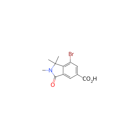 CN1C(=O)c2cc(C(=O)O)cc(Br)c2C1(C)C